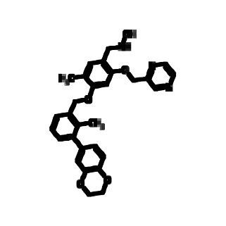 Cc1cc(CNO)c(OCc2cnccn2)cc1OCc1cccc(-c2ccc3c(c2)OCCO3)c1C